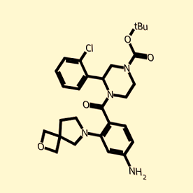 CC(C)(C)OC(=O)N1CCN(C(=O)c2ccc(N)cc2N2CCC3(COC3)C2)C(c2ccccc2Cl)C1